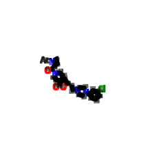 CC(=O)N1CC[C@@H]1C(=O)N1CCC2(CC1)C[C@H](CCN1CCN(c3cccc(Cl)c3)CC1)OC2=O